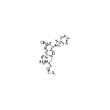 COC[C@H](N)Cc1oc2c(NCc3ccccc3)cc(Cl)nc2c1Cl